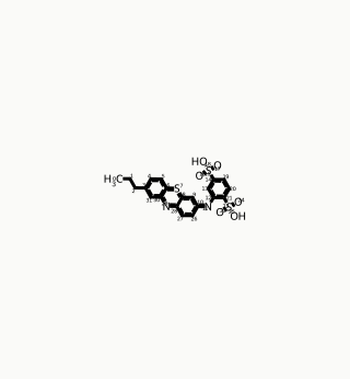 CCCc1ccc2sc3c/c(=N\c4cc(S(=O)(=O)O)ccc4S(=O)(=O)O)ccc-3nc2c1